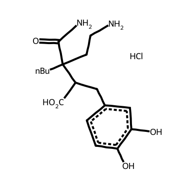 CCCCC(CCN)(C(N)=O)C(Cc1ccc(O)c(O)c1)C(=O)O.Cl